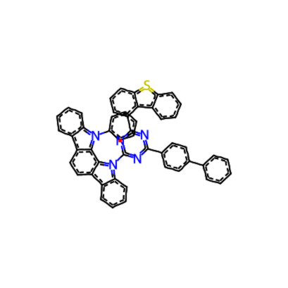 c1ccc(-c2ccc(-c3nc(-c4cccc5sc6ccccc6c45)nc(-n4c5ccccc5c5ccc6c7ccccc7n(-c7ccccc7)c6c54)n3)cc2)cc1